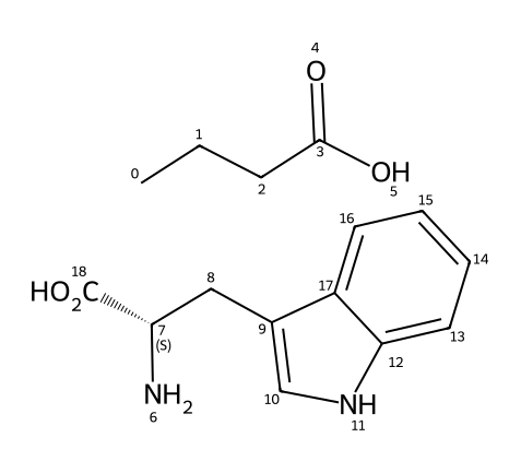 CCCC(=O)O.N[C@@H](Cc1c[nH]c2ccccc12)C(=O)O